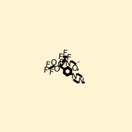 CO[C@@H](C)CN(C(=O)C(F)(F)F)c1cc(N2CCN(C)CC2)ccc1C(=O)OC(=O)C(F)(F)F